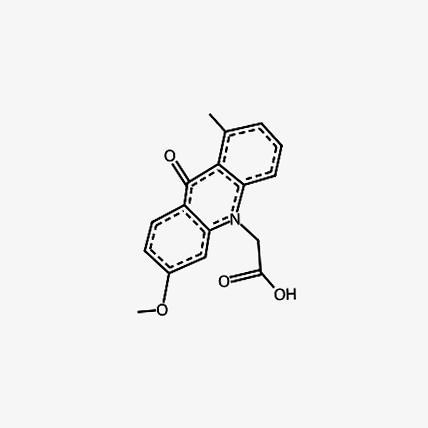 COc1ccc2c(=O)c3c(C)cccc3n(CC(=O)O)c2c1